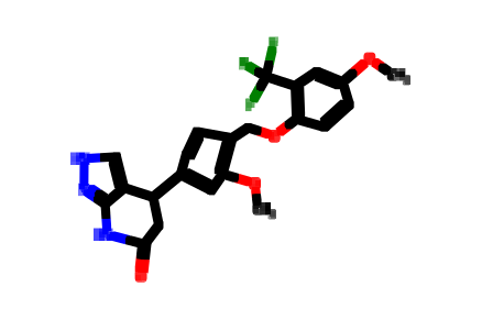 COc1ccc(OCc2ccc(C3CC(=O)Nc4n[nH]cc43)cc2OC)c(C(F)(F)F)c1